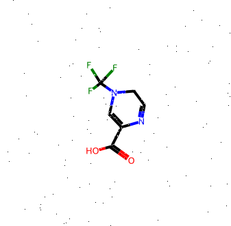 O=C(O)C1=CN(C(F)(F)F)CC=N1